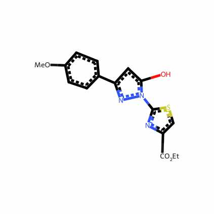 CCOC(=O)c1csc(-n2nc(-c3ccc(OC)cc3)cc2O)n1